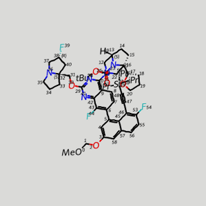 COCOc1cc(-c2ccc3c(N4C[C@@H]5CC[C@]([C@@H]6CCCO6)(C4)N5C(=O)OC(C)(C)C)nc(OC[C@@]45CCCN4C[C@H](F)C5)nc3c2F)c2c(C#C[Si](C(C)C)(C(C)C)C(C)C)c(F)ccc2c1